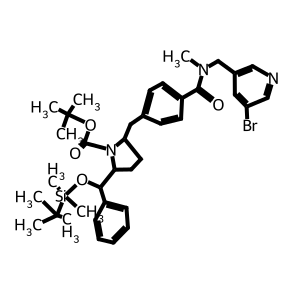 CN(Cc1cncc(Br)c1)C(=O)c1ccc(CC2CCC(C(O[Si](C)(C)C(C)(C)C)c3ccccc3)N2C(=O)OC(C)(C)C)cc1